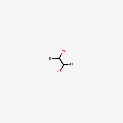 C[CH]C(O)C(O)CC